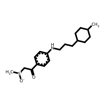 CC1CCC(CCCNc2ccc(C(=O)C[S+](C)[O-])cc2)CC1